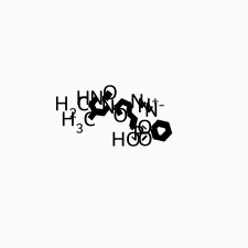 C=C1NC(=O)N(C2CC(N=[N+]=[N-])C(C=CP(=O)(O)Oc3ccccc3)O2)C=C1C